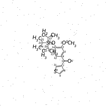 COc1cc(C(=O)c2ccsc2)ccc1O[Si](C(C)C)(C(C)C)C(C)C